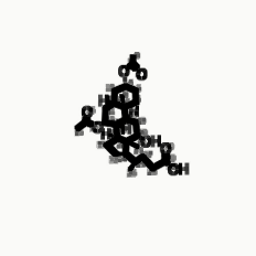 CC(=O)O[C@@H]1CC[C@@]2(C)[C@@H](C1)C[C@@H](OC(C)=O)[C@@H]1[C@@H]2C[C@H](O)[C@]2(C)[C@@H]([C@H](C)CCC(=O)O)CC[C@@H]12